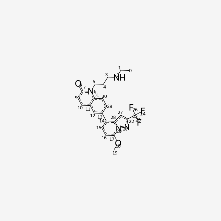 CCNCCCn1c(=O)ccc2cc(-c3ccc(OC)n4nc(C(F)(F)F)cc34)ccc21